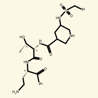 CC(C)CS(=O)(=O)NC1CNCC(C(=O)N[C@H](C(=O)N[C@@H](CCN)C(=O)C(C)C)[C@H](C)O)C1